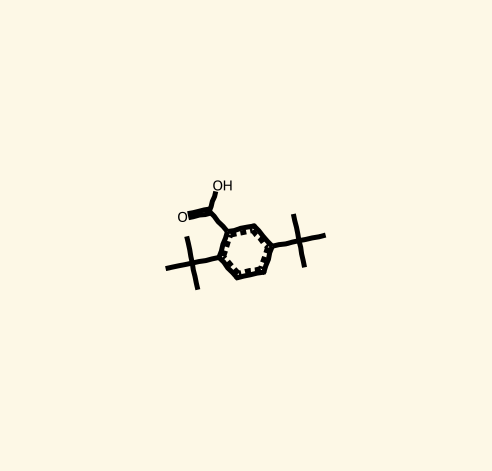 CC(C)(C)c1ccc(C(C)(C)C)c(C(=O)O)c1